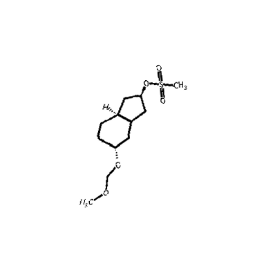 COCO[C@@H]1CC[C@H]2C[C@@H](OS(C)(=O)=O)CC2C1